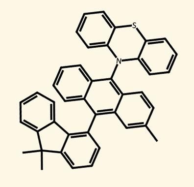 Cc1ccc2c(N3c4ccccc4Sc4ccccc43)c3ccccc3c(-c3cccc4c3-c3ccccc3C4(C)C)c2c1